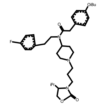 CC(C)COc1ccc(CC(=O)N(CCc2ccc(F)cc2)C2CCN(CCCN3C(=O)OCC3C(C)C)CC2)cc1